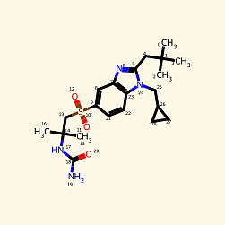 CC(C)(C)Cc1nc2cc(S(=O)(=O)CC(C)(C)NC(N)=O)ccc2n1CC1CC1